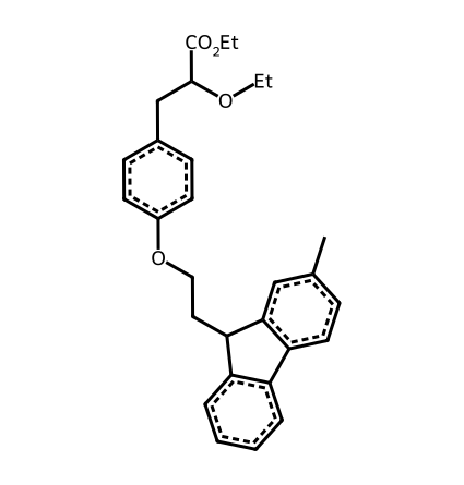 CCOC(=O)C(Cc1ccc(OCCC2c3ccccc3-c3ccc(C)cc32)cc1)OCC